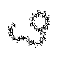 [c]1csc(-c2csc(-c3csc(-c4csc(-c5csc(-c6csc(-c7csc(-c8csc(-c9csc(-c%10csc(-c%11csc(-c%12csc(-c%13csc(-c%14csc(-c%15csc(-c%16csc(-c%17csc(-c%18csc(-c%19csc(-c%20csc(-c%21csc(-c%22cscn%22)n%21)n%20)n%19)n%18)n%17)n%16)n%15)n%14)n%13)n%12)n%11)n%10)n9)n8)n7)n6)n5)n4)n3)n2)n1